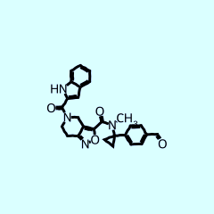 CN(C(=O)c1onc2c1CN(C(=O)c1cc3ccccc3[nH]1)CC2)C1(c2ccc(C=O)cc2)CC1